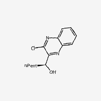 CCCCC[C@H](O)c1nc2ccccc2nc1Cl